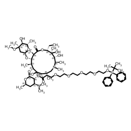 CC[C@H]1OC(=O)[C@H](C)[C@@H](O[C@H]2C[C@@](C)(OC)[C@@H](O)[C@H](C)O2)[C@H](C)[C@@H](O[C@@H]2O[C@H](C)C[C@H](N(C)C)[C@H]2OC(=O)CCOCCOCCOCCOCCO[Si](c2ccccc2)(c2ccccc2)C(C)(C)C)[C@](C)(O)C[C@@H](C)CN(C)[C@H](C)[C@@H](O)[C@]1(C)O